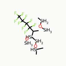 CC([SiH](O[SiH3])[SiH2]O[SiH](C)C)C(F)(F)C(F)(F)C(F)(F)C(F)(F)F.C[SiH2]O[SiH3]